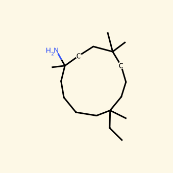 CCC1(C)CCCCC(C)(N)CCC(C)(C)CCC1